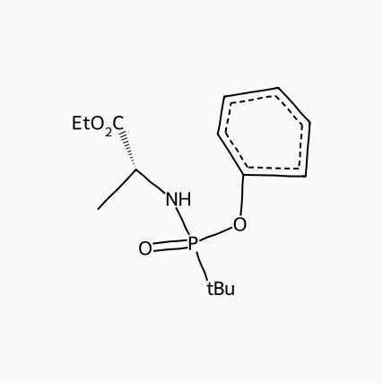 CCOC(=O)[C@@H](C)NP(=O)(Oc1ccccc1)C(C)(C)C